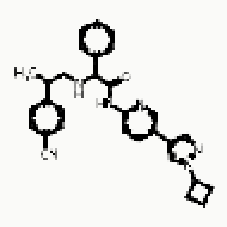 CC(CNC(C(=O)Nc1ccc(-c2cnn(C3CCC3)c2)cn1)c1ccccc1)c1ccc(C#N)cc1